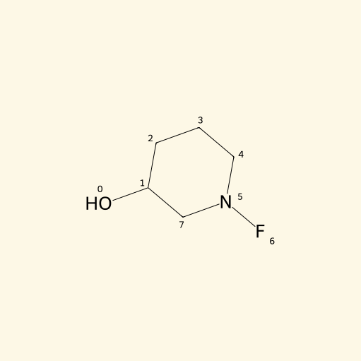 OC1CCCN(F)C1